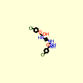 OC(COc1ccc(Cl)cc1)NC12CC(NC3NNC(c4ccc(Cl)cc4)O3)(C1)C2